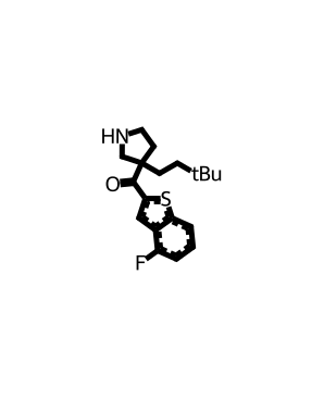 CC(C)(C)CCC1(C(=O)c2cc3c(F)cccc3s2)CCNC1